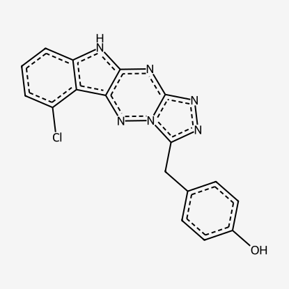 Oc1ccc(Cc2nnc3nc4[nH]c5cccc(Cl)c5c4nn23)cc1